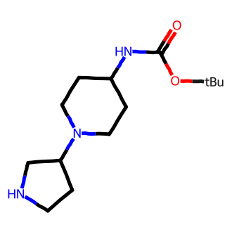 CC(C)(C)OC(=O)NC1CCN(C2CCNC2)CC1